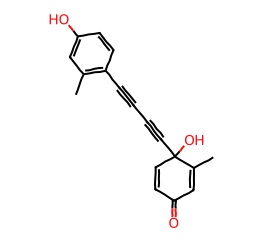 CC1=CC(=O)C=CC1(O)C#CC#Cc1ccc(O)cc1C